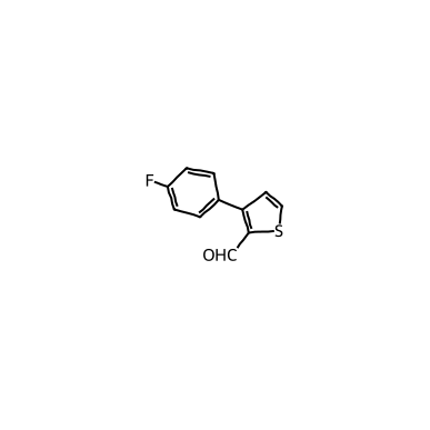 O=Cc1sccc1-c1ccc(F)cc1